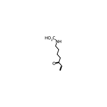 C=CC(=O)CCCCNC(=O)O